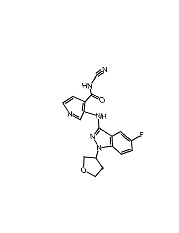 N#CNC(=O)c1ccncc1Nc1nn(C2CCOC2)c2ccc(F)cc12